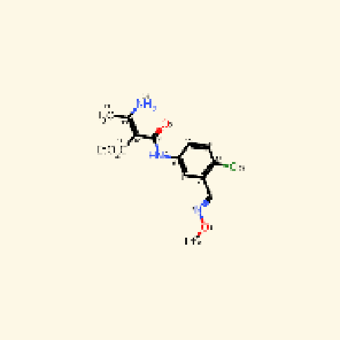 CCON=Cc1cc(NC(=O)/C(C(=O)OCC)=C(/C)N)ccc1Cl